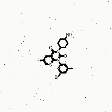 Cc1cc(Br)cc(-n2c(=O)n(C3CCC(N)CC3)c(=O)c3cc(F)cnc32)c1